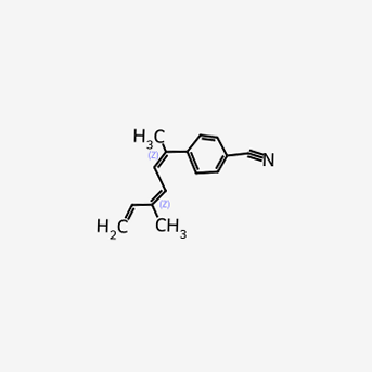 C=C/C(C)=C\C=C(\C)c1ccc(C#N)cc1